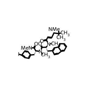 CNC(=O)[C@@H](Cc1ccc(I)cc1)N(C)C(=O)[C@@H](Cc1ccc2ccccc2c1)N(C)C(=O)/C=C/CC(C)(C)NC